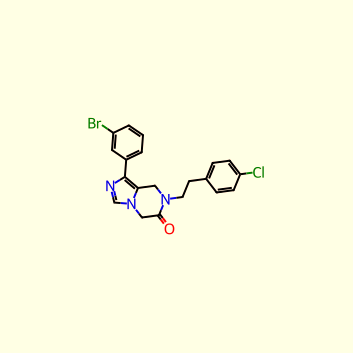 O=C1Cn2cnc(-c3cccc(Br)c3)c2CN1CCc1ccc(Cl)cc1